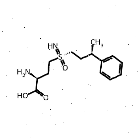 C[C@H](CC[S@](=N)(=O)CC[C@H](N)C(=O)O)c1ccccc1